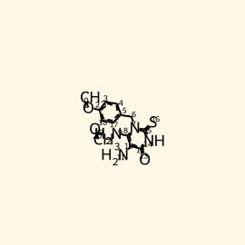 COc1ccc(Cn2c(N)c(N)c(=O)[nH]c2=S)cc1OC